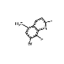 Cc1cc(Br)c(F)c2nc(I)ccc12